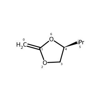 C=C1OC[C@H](C(C)C)O1